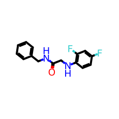 O=C(CNc1ccc(F)cc1F)NCc1ccccc1